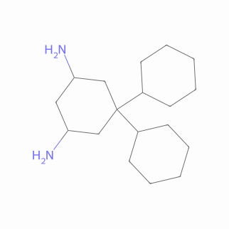 NC1CC(N)CC(C2CCCCC2)(C2CCCCC2)C1